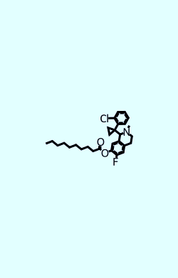 CCCCCCCCCC(=O)Oc1cc2c(cc1F)CCN(C)C2C1(c2ccccc2Cl)CC1